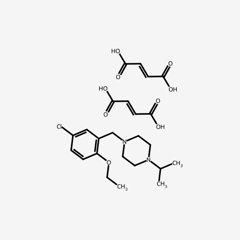 CCOc1ccc(Cl)cc1CN1CCN(C(C)C)CC1.O=C(O)/C=C/C(=O)O.O=C(O)/C=C/C(=O)O